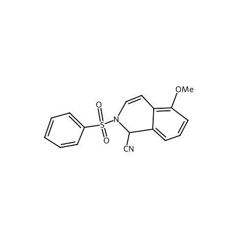 COc1cccc2c1C=CN(S(=O)(=O)c1ccccc1)C2C#N